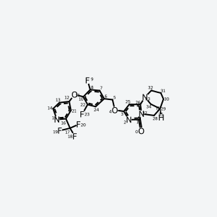 O=c1nc(OCc2cc(F)c(Oc3ccnc(C(F)(F)F)c3)c(F)c2)cc2n1C[C@H]1CCCN2C1